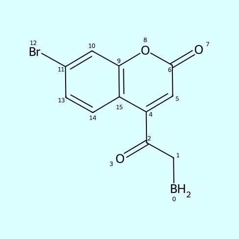 BCC(=O)c1cc(=O)oc2cc(Br)ccc12